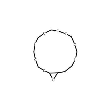 C1CCCCCCCCC2OC2CCCCCCC1